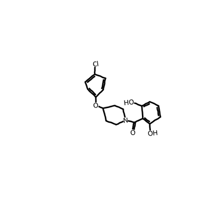 O=C(c1c(O)cccc1O)N1CCC(Oc2ccc(Cl)cc2)CC1